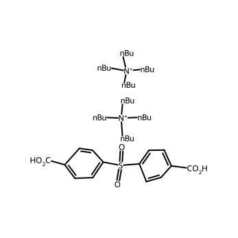 CCCC[N+](CCCC)(CCCC)CCCC.CCCC[N+](CCCC)(CCCC)CCCC.O=C(O)c1ccc(S(=O)(=O)c2ccc(C(=O)O)cc2)cc1